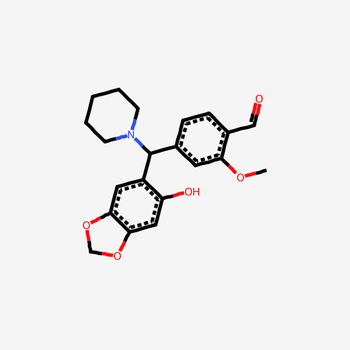 COc1cc(C(c2cc3c(cc2O)OCO3)N2CCCCC2)ccc1C=O